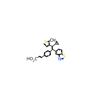 Cc1sccc1C(=C(c1ccc(C=CC(=O)O)cc1)c1ccc2scnc2c1)C1CC1